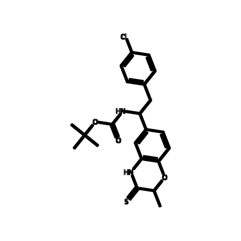 CC1Oc2ccc(C(Cc3ccc(Cl)cc3)NC(=O)OC(C)(C)C)cc2NC1=S